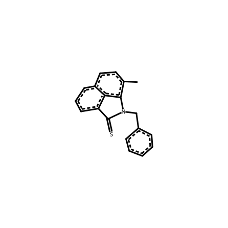 Cc1ccc2cccc3c2c1N(Cc1ccccc1)C3=S